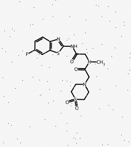 CN(CC(=O)Nc1nc2ccc(F)cc2s1)C(=O)CN1CCS(=O)(=O)CC1